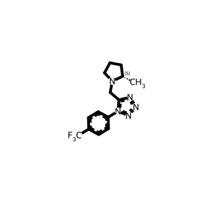 C[C@H]1CCCN1Cc1nnnn1-c1ccc(C(F)(F)F)cc1